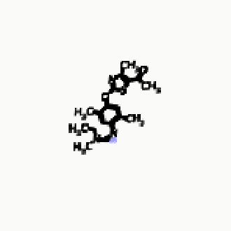 CCN(C)/C=N\c1cc(C)c(Oc2nc(C)c(C(C)=O)s2)cc1C